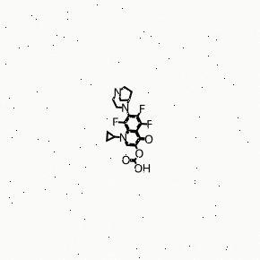 O=C(O)Oc1cn(C2CC2)c2c(F)c(N3CCN4CCC3C4)c(F)c(F)c2c1=O